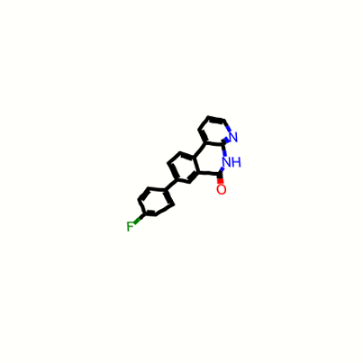 O=c1[nH]c2ncccc2c2ccc(-c3ccc(F)cc3)cc12